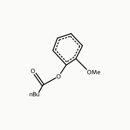 CCCCC(=O)Oc1ccccc1OC